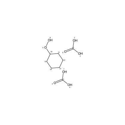 O=C(O)O.O=C(O)O.OO[C]1CCCCC1